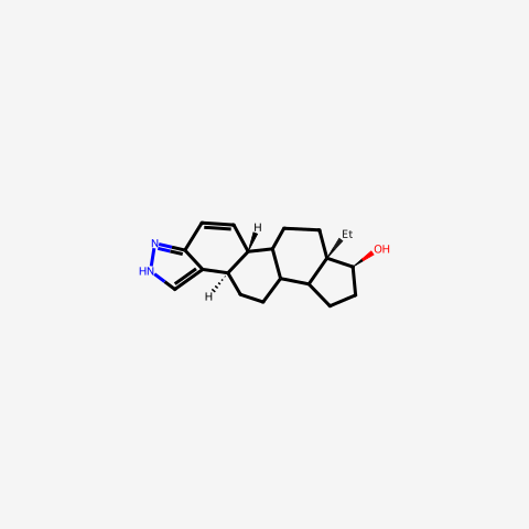 CC[C@]12CCC3C(CC[C@H]4c5c[nH]nc5C=C[C@H]34)C1CC[C@@H]2O